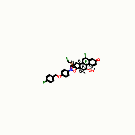 C[C@]12C=CC(=O)C=C1[C@@H](F)C[C@H]1[C@@H]3C[C@H]4CN(c5ccc(OCc6ccc(F)cc6)cc5)O[C@@]4(C(=O)SCF)[C@@]3(C)C[C@H](O)[C@@]12F